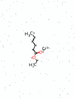 CCCCCC(=O)OCC.[Cr+3]